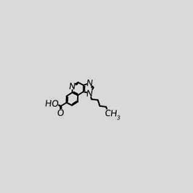 CCCCCn1cnc2cnc3cc(C(=O)O)ccc3c21